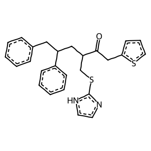 O=C(Cc1cccs1)C(CSc1ncc[nH]1)CC(Cc1ccccc1)c1ccccc1